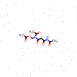 CC(=O)NC(=O)CC(=O)N(COC(C)=O)C(C)=O